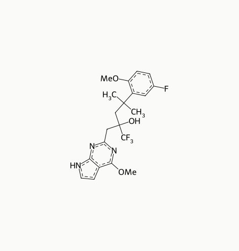 COc1ccc(F)cc1C(C)(C)CC(O)(Cc1nc(OC)c2cc[nH]c2n1)C(F)(F)F